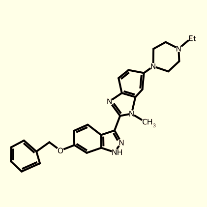 CCN1CCN(c2ccc3nc(-c4n[nH]c5cc(OCc6ccccc6)ccc45)n(C)c3c2)CC1